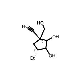 C#C[C@]1(CO)C[C@@H](CC)C(O)C1O